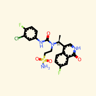 C[C@@H](c1c[nH]c(=O)c2cc(F)ccc12)N(CCS(N)(=O)=O)C(=O)Nc1ccc(F)c(Cl)c1